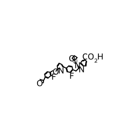 O=C(O)c1ccc2nc(Cc3ccc(-c4cccc(OCc5ccc(C6COC6)cc5F)n4)cc3F)n(C[C@@H]3CCO3)c2c1